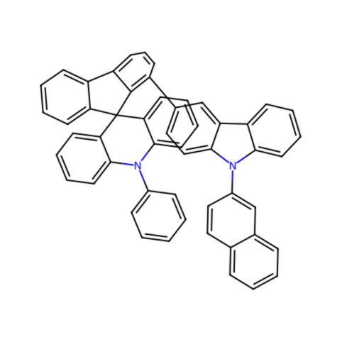 c1ccc(N2c3ccccc3C3(c4ccccc4-c4cccc(-c5ccc6c(c5)c5ccccc5n6-c5ccc6ccccc6c5)c43)c3ccccc32)cc1